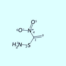 C=C(SN)[N+](=O)[O-]